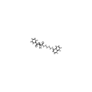 O=C(CCCCCCc1cccc2ccccc12)NOC(=O)c1ccccc1